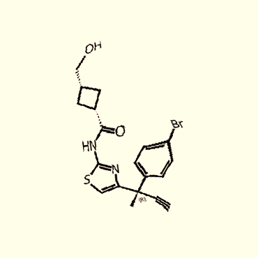 C#C[C@@](C)(c1ccc(Br)cc1)c1csc(NC(=O)[C@H]2C[C@@H](CO)C2)n1